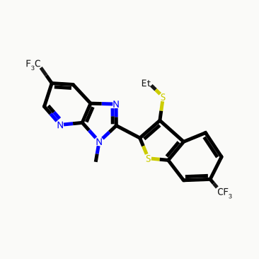 CCSc1c(-c2nc3cc(C(F)(F)F)cnc3n2C)sc2cc(C(F)(F)F)ccc12